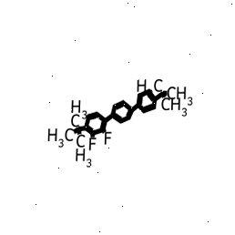 CC(C)(C)c1ccc(-c2ccc(-c3ccc(C(C)(C)C)c(F)c3F)cc2)cc1